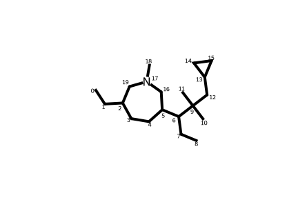 CCC1CCC(C(CC)C(C)(C)CC2CC2)CN(C)C1